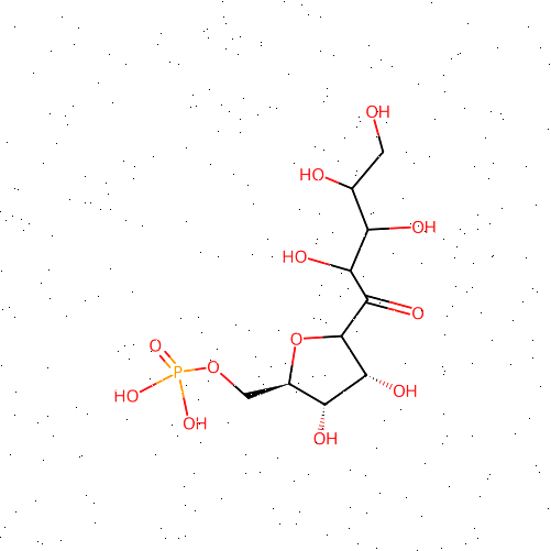 O=C(C(O)C(O)C(O)CO)C1O[C@H](COP(=O)(O)O)[C@@H](O)[C@H]1O